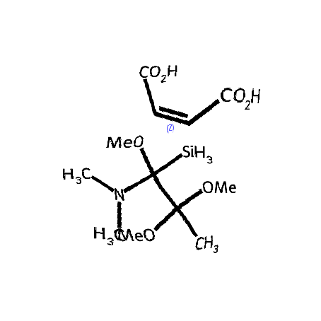 COC(C)(OC)C([SiH3])(OC)N(C)C.O=C(O)/C=C\C(=O)O